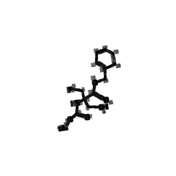 CC(C)CC(CO)(NC(=O)OC(C)(C)C)C(=O)OCc1ccccc1